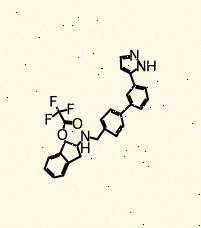 O=C(OC1c2ccccc2CC1NCc1ccc(-c2cccc(-c3ccn[nH]3)c2)cc1)C(F)(F)F